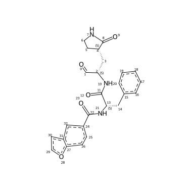 O=C[C@H](C[C@@H]1CCNC1=O)NC(=O)[C@H](Cc1ccccc1)NC(=O)c1ccc2occc2c1